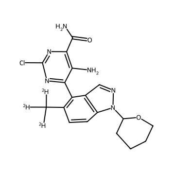 [2H]C([2H])([2H])c1ccc2c(cnn2C2CCCCO2)c1-c1nc(Cl)nc(C(N)=O)c1N